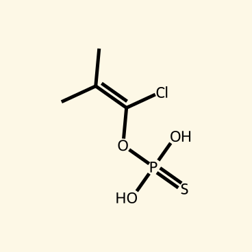 CC(C)=C(Cl)OP(O)(O)=S